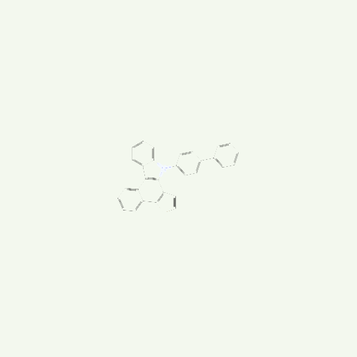 c1ccc(-c2ccc(-n3c4ccccc4c4c5ccccc5c5sccc5c43)cc2)cc1